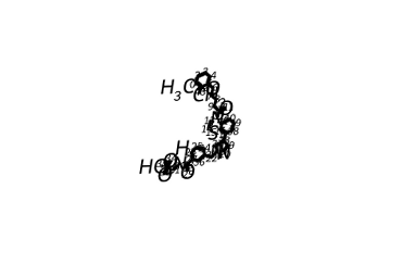 Cc1cccc(OCCCC(=O)N2CCSc3c(-c4cnn(Cc5cccc(C(=O)NCS(=O)(=O)O)c5)c4)cccc32)c1C